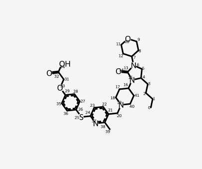 CCCCC1CN(C2CCOCC2)C(=O)N1C1CCN(Cc2ccc(Sc3ccc(OCC(=O)O)cc3)nc2C)CC1